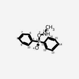 CNOP(=O)(c1ccccc1)c1ccccc1